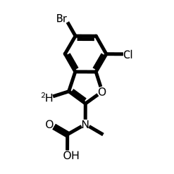 [2H]c1c(N(C)C(=O)O)oc2c(Cl)cc(Br)cc12